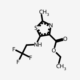 CCOC(=O)c1nc(C)sc1NCC(F)(F)F